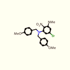 CNc1cc(Br)cc(N(Cc2ccc(OC)cc2)Cc2ccc(OC)cc2)c1[N+](=O)[O-]